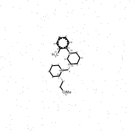 COCC[C@@H]1CCCCN1C[C@H]1CCCN(c2ccccc2C)C1